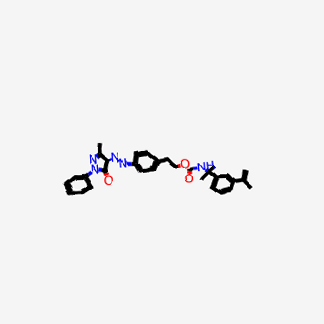 C=C(C)c1cccc(C(C)(C)NC(=O)OCCc2ccc(/N=N/[C@H]3C(=O)N(c4ccccc4)N=C3C)cc2)c1